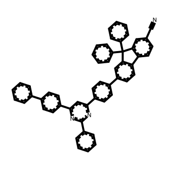 N#Cc1ccc2c(c1)C(c1ccccc1)(c1ccccc1)c1cc(-c3ccc(-c4cc(-c5ccc(-c6ccccc6)cc5)nc(-c5ccccc5)n4)cc3)ccc1-2